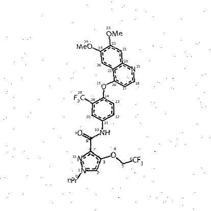 CCCn1cc(OCC(F)(F)F)c(C(=O)Nc2ccc(Oc3ccnc4cc(OC)c(OC)cc34)c(C(F)(F)F)c2)n1